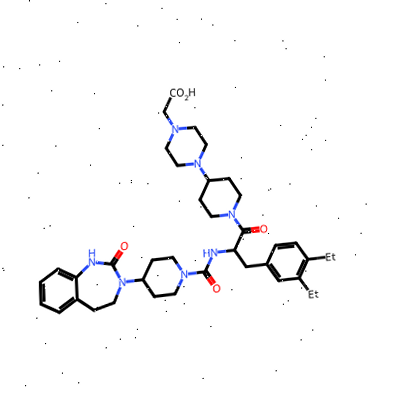 CCc1ccc(CC(NC(=O)N2CCC(N3CCc4ccccc4NC3=O)CC2)C(=O)N2CCC(N3CCN(CC(=O)O)CC3)CC2)cc1CC